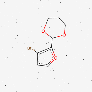 Brc1ccoc1C1OCCCO1